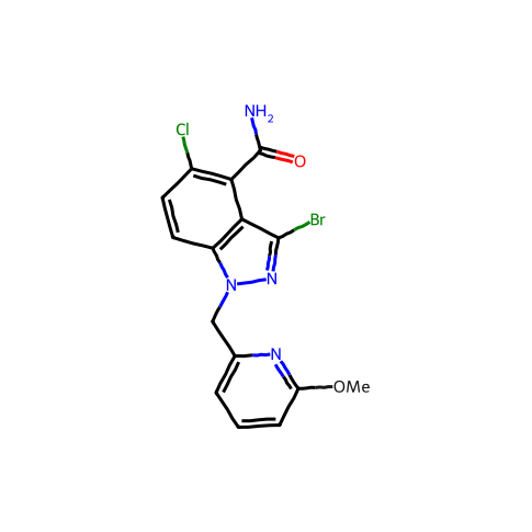 COc1cccc(Cn2nc(Br)c3c(C(N)=O)c(Cl)ccc32)n1